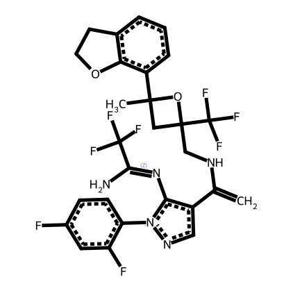 C=C(NCC1(C(F)(F)F)CC(C)(c2cccc3c2OCC3)O1)c1cnn(-c2ccc(F)cc2F)c1/N=C(\N)C(F)(F)F